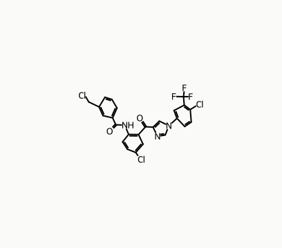 O=C(Nc1ccc(Cl)cc1C(=O)c1cn(-c2ccc(Cl)c(C(F)(F)F)c2)cn1)c1cccc(CCl)c1